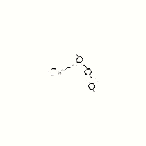 Cc1ccc(N(C)C(=O)c2ccc(COc3ccc(C)cc3N(C)C)cc2)c(OCCCCCC(=O)N2CCN(C)CC2)c1